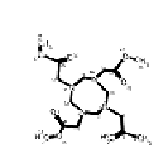 C=C(C)CN1CN(CC(=O)OC)CN(CC(=O)OC)CN(CC(=O)OC)C1